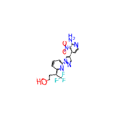 Nc1nccc(-c2cnn(-c3cccc(C(CCO)C(F)(F)F)n3)c2)c1[N+](=O)[O-]